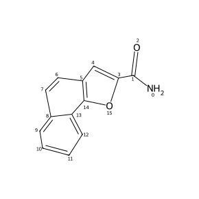 NC(=O)c1cc2ccc3ccccc3c2o1